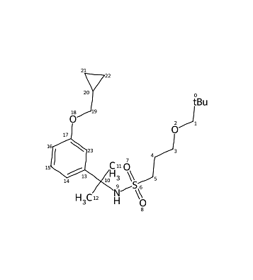 CC(C)(C)COCCCS(=O)(=O)NC(C)(C)c1cccc(OCC2CC2)c1